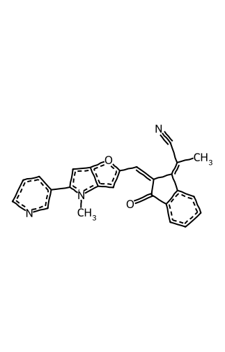 C/C(C#N)=C1/C(=C/c2cc3c(cc(-c4cccnc4)n3C)o2)C(=O)c2ccccc21